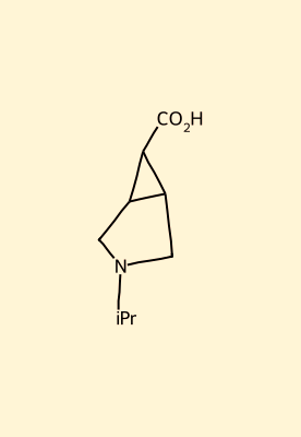 CC(C)N1CC2C(C1)C2C(=O)O